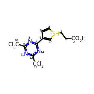 O=C(O)CC[SH]1C=CC(c2nc(C(Cl)(Cl)Cl)nc(C(Cl)(Cl)Cl)n2)=C1